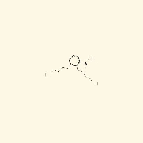 CCCCCc1cccc(C(N)=O)c1CCCCC